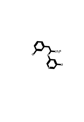 O=C(O)C(Cc1cccc(Cl)c1)Oc1cncc(Cl)c1